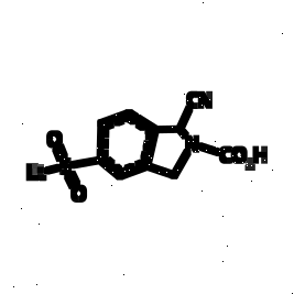 CCS(=O)(=O)c1ccc2c(c1)CN(C(=O)O)C2C#N